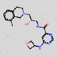 Cc1cccc2c1CN(C[C@@H](O)CNC(=O)c1cc(NC3COC3)ncn1)CC2